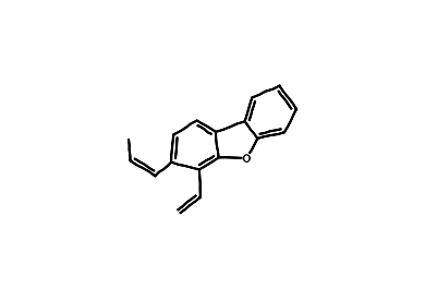 C=Cc1c(/C=C\C)ccc2c1oc1ccccc12